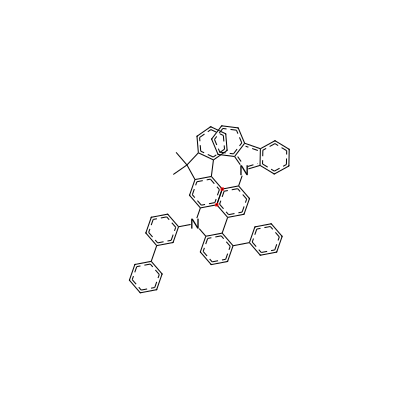 CC1(C)c2ccccc2-c2ccc(N(c3cccc(-c4ccccc4)c3)c3cccc(-c4ccccc4)c3-c3ccc(-n4c5ccccc5c5ccccc54)cc3)cc21